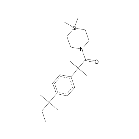 CCC(C)(C)c1ccc(C(C)(C)C(=O)N2CC[Si](C)(C)CC2)cc1